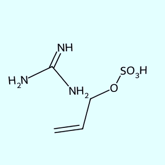 C=CCOS(=O)(=O)O.N=C(N)N